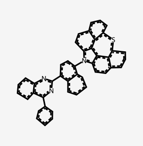 c1ccc(-c2nc(-c3ccc(-n4c5ccc6cccc7sc8cccc9ccc4c(c98)c5c67)c4ccccc34)nc3ccccc23)cc1